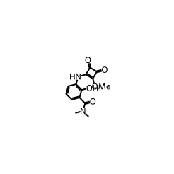 COc1c(Nc2cccc(C(=O)N(C)C)c2O)c(=O)c1=O